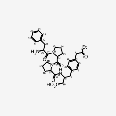 CCC(=O)Cc1ccc(CC(CC(=O)O)NC(=O)C2CCCN2C(=O)C2CCCN2C(=O)C(N)Cc2ccccc2)cc1